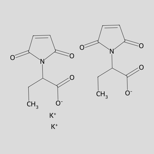 CCC(C(=O)[O-])N1C(=O)C=CC1=O.CCC(C(=O)[O-])N1C(=O)C=CC1=O.[K+].[K+]